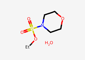 CCOS(=O)(=O)N1CCOCC1.O